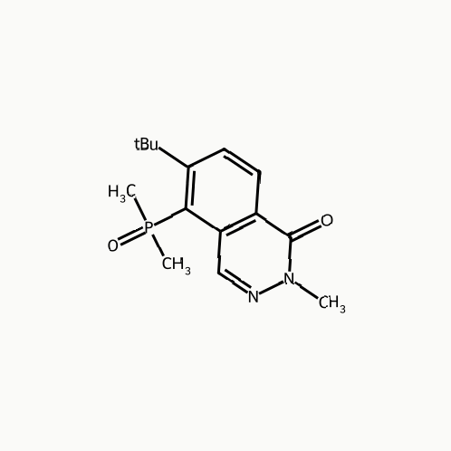 Cn1ncc2c(P(C)(C)=O)c(C(C)(C)C)ccc2c1=O